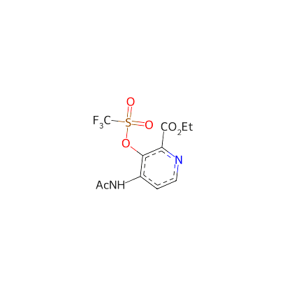 CCOC(=O)c1nccc(NC(C)=O)c1OS(=O)(=O)C(F)(F)F